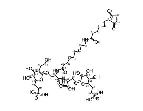 O=C(CCCCCN1C(=O)C=CC1=O)NCCOCCOCCC(=O)NC(COC1=C(CCO)C(O)[C@H](O)C(CCP(=O)(O)O)O1)C(=O)NC(COC1OC(CCP(=O)(O)O)C(O)C(O)C1O)C(=O)O